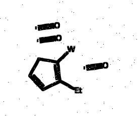 CCC1=[C]([W])CC=C1.[C]=O.[C]=O.[C]=O